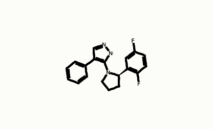 Fc1ccc(F)c([C@H]2CCCN2C2=C(c3ccccc3)C=N[N]2)c1